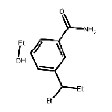 CCC(CC)c1cccc(C(N)=O)c1.CCO